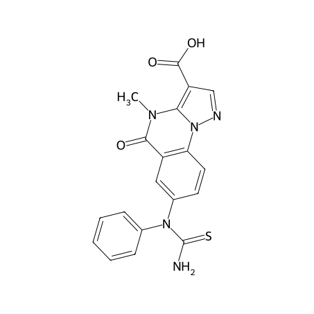 Cn1c(=O)c2cc(N(C(N)=S)c3ccccc3)ccc2n2ncc(C(=O)O)c12